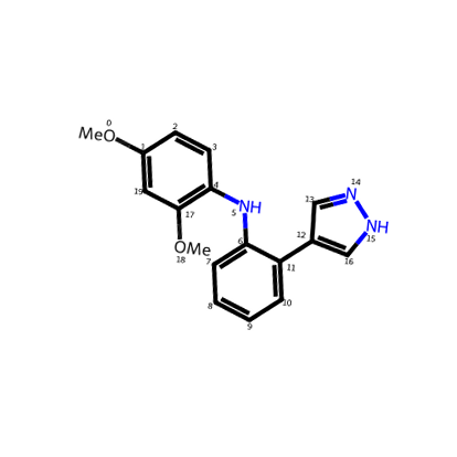 COc1ccc(Nc2ccccc2-c2cn[nH]c2)c(OC)c1